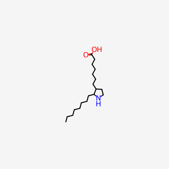 CCCCCCCCC1NCCC1CCCCCCC(=O)O